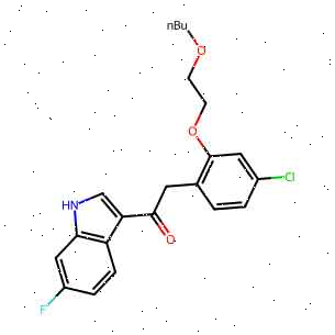 CCCCOCCOc1cc(Cl)ccc1CC(=O)c1c[nH]c2cc(F)ccc12